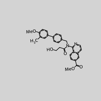 COC(=O)c1ccc2c(N(Cc3ccc(-c4ccc(OC)c(C)c4)cc3)C(=O)CCO)nccc2c1